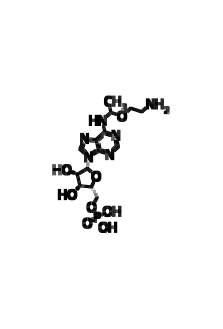 CC(Nc1ncnc2c1ncn2[C@@H]1O[C@H](COP(=O)(O)O)[C@@H](O)[C@H]1O)OCCN